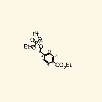 CCOC(=O)c1ccc(COP(=O)(OCC)OCC)cc1